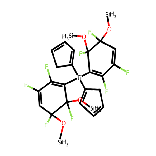 FC1=CC(F)(O[SiH3])C(F)(O[SiH3])[C]([Ti]([C]2=CC=CC2)([C]2=CC=CC2)[C]2=C(F)C(F)=CC(F)(O[SiH3])C2(F)O[SiH3])=C1F